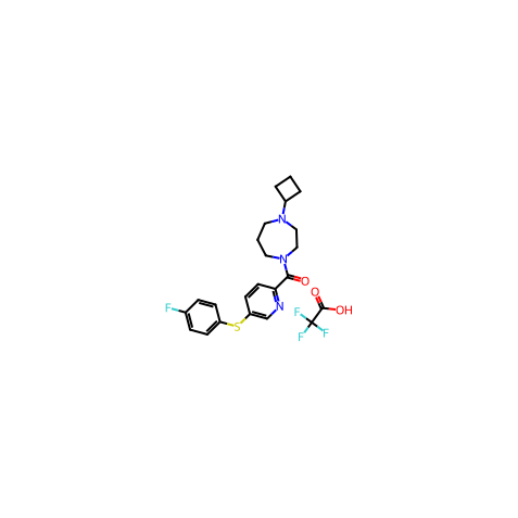 O=C(O)C(F)(F)F.O=C(c1ccc(Sc2ccc(F)cc2)cn1)N1CCCN(C2CCC2)CC1